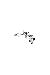 CC(C)c1c(C(=O)Nc2ccccc2)c(-c2ccccc2)c(-c2ccc(F)cc2)n1CCC(O)CC(O)CC(=O)NCC[C@@H](O)CC(O)CC(=O)O